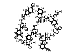 N#Cc1cccc2c1CC(NCCCC1CN(c3ccc4c(n3)NC(=O)CO4)C(=O)O1)C2OC=O.O=C1COc2ccc(N3CC(CCCNC4Cc5ccc(F)cc5C4)OC3=O)nc2N1.O=C1COc2ccc(N3CC(CCNC4Cc5ccc(Cl)cc5C4)OC3=O)nc2N1.O=CO